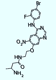 CC(N)CC(=O)NCCOc1cc2ncnc(Nc3ccc(Br)cc3F)c2cc1[N+](=O)[O-]